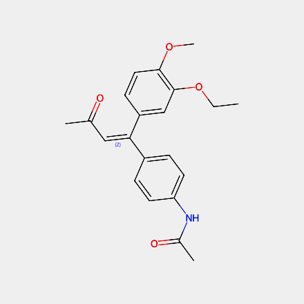 CCOc1cc(/C(=C\C(C)=O)c2ccc(NC(C)=O)cc2)ccc1OC